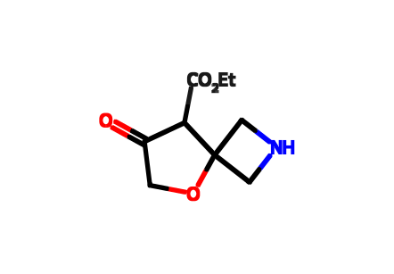 CCOC(=O)C1C(=O)COC12CNC2